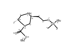 C[C@@H]1CN[C@@H](CCO[Si](C)(C)C(C)(C)C)CN1C(=O)OC(C)(C)C